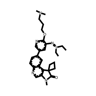 CCS(CC)=Nc1cc(-c2ccc3ncc4c(c3c2)C2(CCC2)C(=O)N4C)cnc1OCCCN(C)C